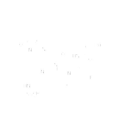 CC(C)(C)OC(=O)Nc1sc(-c2c(F)cccc2F)nc1C(=O)Nc1cnc2c(ccn2S(=O)(=O)c2ccccc2)c1N1CCC[C@H](NC(=O)O)C1